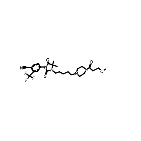 COCCC(=O)N1CCN(CCCCCN2C(=S)N(c3ccc(C#N)c(C(F)(F)F)c3)C(=O)C2(C)C)CC1